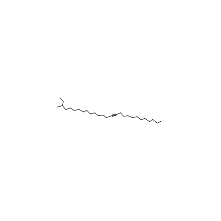 [CH2]CCCCCCCCCCC#CCCCCCCCCCCCC(C)C[CH2]